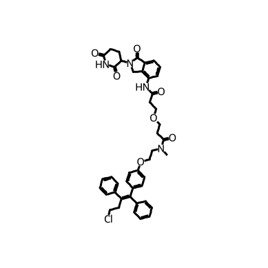 CN(CCOc1ccc(/C(=C(/CCCl)c2ccccc2)c2ccccc2)cc1)C(=O)CCOCCC(=O)Nc1cccc2c1CN(C1CCC(=O)NC1=O)C2=O